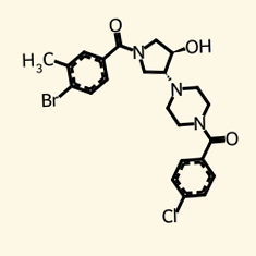 Cc1cc(C(=O)N2C[C@@H](O)[C@H](N3CCN(C(=O)c4ccc(Cl)cc4)CC3)C2)ccc1Br